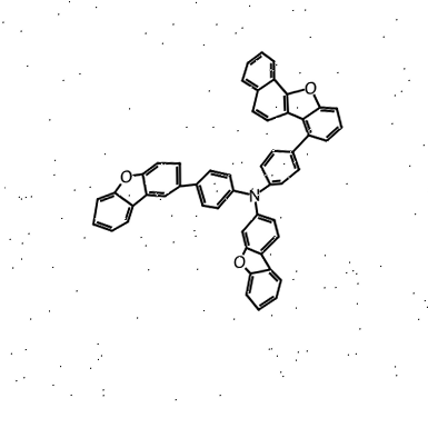 c1ccc2c(c1)ccc1c2oc2cccc(-c3ccc(N(c4ccc(-c5ccc6oc7ccccc7c6c5)cc4)c4ccc5c(c4)oc4ccccc45)cc3)c21